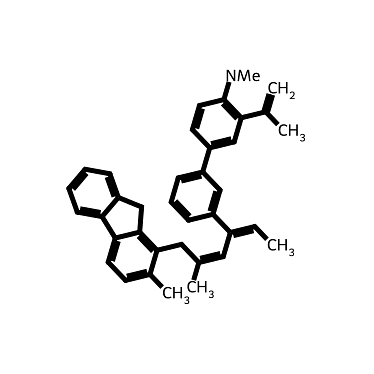 C=C(C)c1cc(-c2cccc(C(/C=C(/C)Cc3c(C)ccc4c3Cc3ccccc3-4)=C/C)c2)ccc1NC